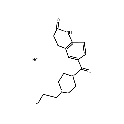 CC(C)CCN1CCN(C(=O)c2ccc3c(c2)CCC(=O)N3)CC1.Cl